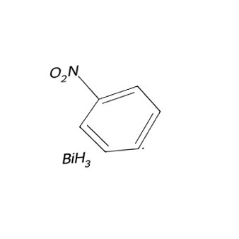 O=[N+]([O-])c1cc[c]cc1.[BiH3]